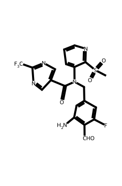 CS(=O)(=O)c1ncccc1N(Cc1cc(N)c(C=O)c(F)c1)C(=O)c1cnc(C(F)(F)F)nc1